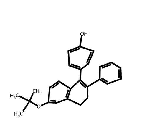 CC(C)(C)Oc1ccc2c(c1)CCC(c1ccccc1)=C2c1ccc(O)cc1